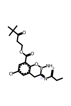 C=C(CC)/N=C1/Cc2cc(Cl)cc(C(=O)OCCC(=O)C(C)(C)C)c2OB1N